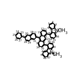 Cn1c2ccccc2c2c(-c3cccc4c(-c5ccc6cc(-c7ccccc7)ccc6c5)c5cccc(-c6cccc7c6c6ccccc6n7C)c5cc34)cccc21